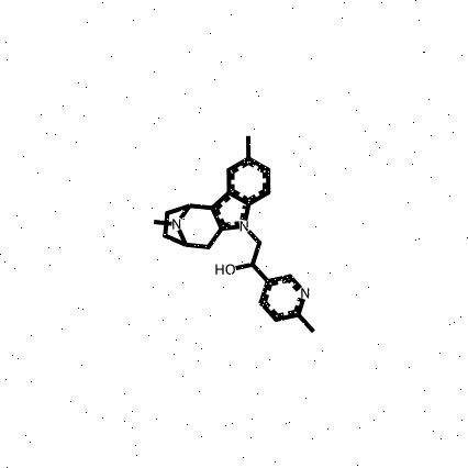 Cc1ccc2c(c1)c1c(n2CC(O)c2ccc(C)nc2)CC2CCC1N2C